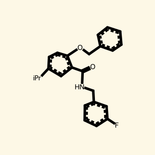 CC(C)c1ccc(OCc2ccccc2)c(C(=O)NCc2cccc(F)c2)c1